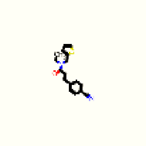 CCN(Cc1cccs1)C(=O)/C=C/c1ccc(C#N)cc1